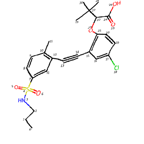 CCCNS(=O)(=O)c1ccc(C)c(C#Cc2cc(Cl)ccc2OC(C(=O)O)C(C)(C)C)c1